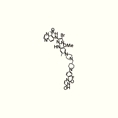 COc1cc(N2CCN(CC3CCN(c4ccc(-n5ccc(=O)[nH]c5=O)c(F)c4)CC3)CC2)c(C)cc1Nc1ncc(Br)c(Nc2ccc3nccnc3c2P(C)(C)=O)n1